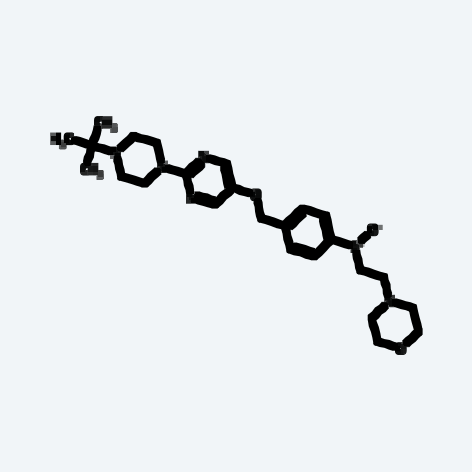 CC(C)(C)N1CCN(c2ncc(OCc3ccc([S+]([O-])CCN4CCOCC4)cc3)cn2)CC1